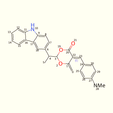 C=C1OC(C(C)c2ccc3[nH]c4ccccc4c3c2)OC(=O)/C1=C/c1ccc(NC)cc1